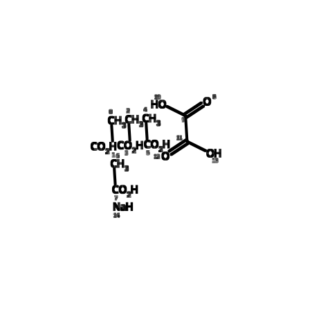 CC(=O)O.CC(=O)O.CC(=O)O.CC(=O)O.O=C(O)C(=O)O.[NaH]